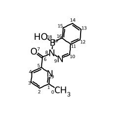 Cc1cccc(C(=O)N2N=Cc3ccccc3B2O)n1